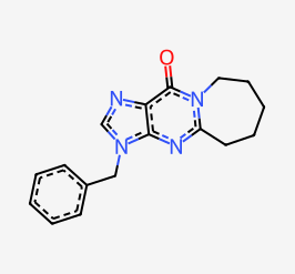 O=c1c2ncn(Cc3ccccc3)c2nc2n1CCCCC2